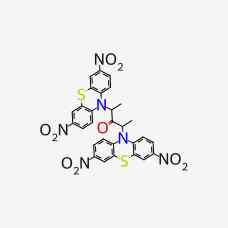 CC(C(=O)C(C)N1c2ccc([N+](=O)[O-])cc2Sc2cc([N+](=O)[O-])ccc21)N1c2ccc([N+](=O)[O-])cc2Sc2cc([N+](=O)[O-])ccc21